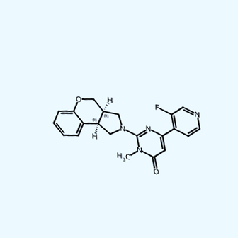 Cn1c(N2C[C@@H]3COc4ccccc4[C@@H]3C2)nc(-c2ccncc2F)cc1=O